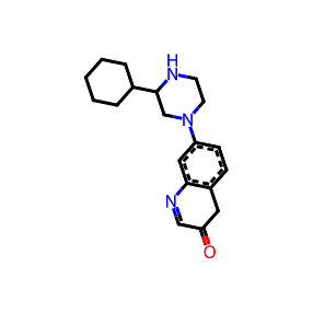 O=C1C=Nc2cc(N3CCNC(C4CCCCC4)C3)ccc2C1